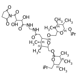 CC(C)CC1O[C@@H](OCC2O[C@@H](OCC3O[C@@H](OC(C)C)C(C)[C@H](C)[C@@H]3C)C(CC(=O)NCNC(=O)C(O)C(O)C(=O)N3C(=O)CCC3=O)[C@H](C)[C@@H]2C)C(C)[C@H](C)[C@@H]1C